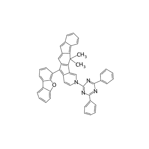 CC1(C)C2=c3ccccc3=CC2=Cc2c(-c3cccc4c3oc3ccccc34)c3ccn(-c4nc(-c5ccccc5)nc(-c5ccccc5)n4)cc-3c21